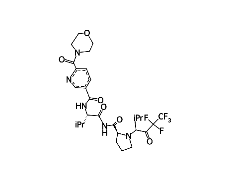 CC(C)C(C(=O)C(F)(F)C(F)(F)F)N1CCC[C@H]1C(=O)NC(=O)[C@@H](NC(=O)c1ccc(C(=O)N2CCOCC2)nc1)C(C)C